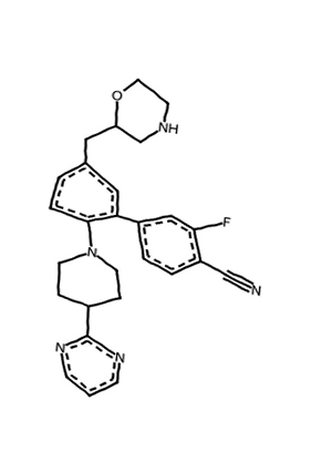 N#Cc1ccc(-c2cc(CC3CNCCO3)ccc2N2CCC(c3ncccn3)CC2)cc1F